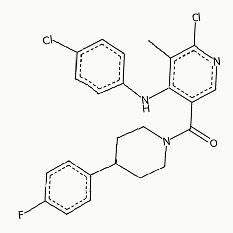 Cc1c(Cl)ncc(C(=O)N2CCC(c3ccc(F)cc3)CC2)c1Nc1ccc(Cl)cc1